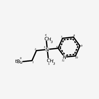 CC(C)(C)CC[Si](C)(C)c1ccccn1